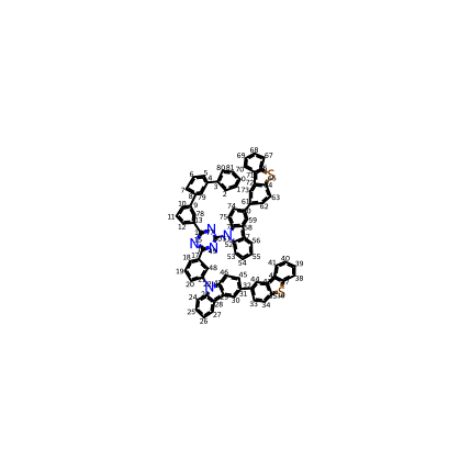 c1ccc(-c2cccc(-c3cccc(-c4nc(-c5cccc(-n6c7ccccc7c7cc(-c8ccc9sc%10ccccc%10c9c8)ccc76)c5)nc(-n5c6ccccc6c6cc(-c7ccc8sc9ccccc9c8c7)ccc65)n4)c3)c2)cc1